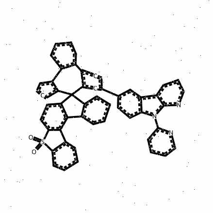 O=S1(=O)c2ccccc2-c2c1ccc1c2-c2ccccc2C12c1ccccc1-c1ccccc1-c1ccc(-c3ccc4c(c3)c3cccnc3n4-c3ccccn3)cc12